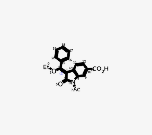 CCO/C(=C1\C(=O)N(C(C)=O)c2cc(C(=O)O)ccc21)c1ccccc1